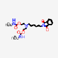 CCCCNC(=O)OCCN(CCCCCCN1C(=O)c2ccccc2C1=O)CCOC(=O)NCCCC